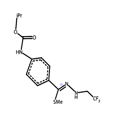 CS/C(=N\NCC(F)(F)F)c1ccc(NC(=O)OC(C)C)cc1